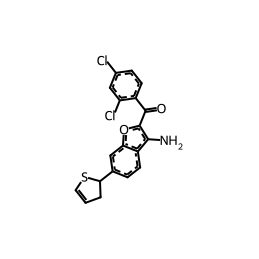 Nc1c(C(=O)c2ccc(Cl)cc2Cl)oc2cc(C3CC=CS3)ccc12